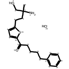 CC(N)(CO)CCc1ccc(C(=O)CCCCc2ccccc2)s1.Cl